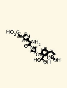 NC(C(=O)N1CC(Oc2ccc3c(c2C(O)O)OB(O)CC3)C1)c1cn(CC(=O)O)cn1